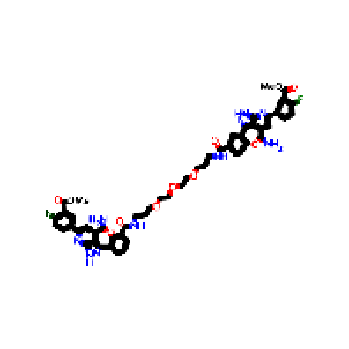 COC(=O)c1cc(-c2cc(C(N)=O)c3c(-c4cccc(C(=O)NCCCOCCOCCOCCCNC(=O)c5cccc(-c6n[nH]c7nc(-c8ccc(F)c(C(=O)OC)c8)cc(C(N)=O)c67)c5)c4)n[nH]c3n2)ccc1F